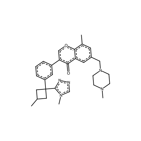 Cc1cc(CN2CCN(C)CC2)cc2c(=O)c(-c3cccc(C4(c5nncn5C)CC(C)C4)c3)coc12